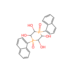 O=P1(c2cccc3ccccc23)C(O)C(O)P(=O)(c2cccc3ccccc23)C(O)C1O